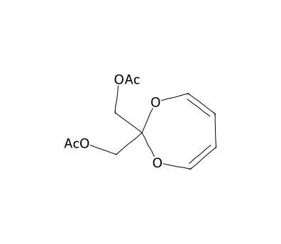 CC(=O)OCC1(COC(C)=O)OC=CC=CO1